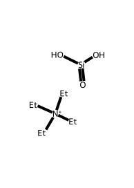 CC[N+](CC)(CC)CC.O=[Si](O)O